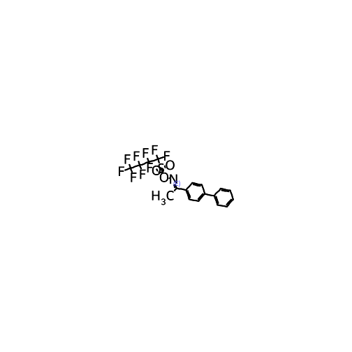 C/C(=N\OS(=O)(=O)C(F)(F)C(F)(F)C(F)(F)C(F)(F)F)c1ccc(-c2ccccc2)cc1